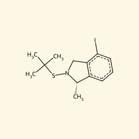 C[C@H]1c2cccc(I)c2CN1SC(C)(C)C